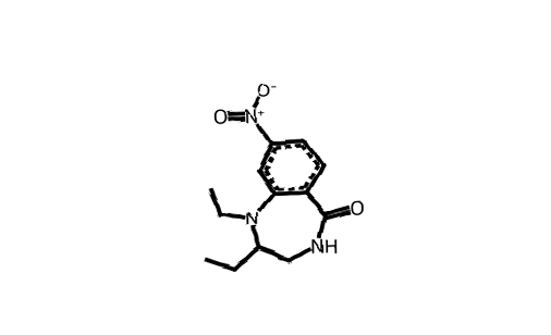 CCC1CNC(=O)c2ccc([N+](=O)[O-])cc2N1CC